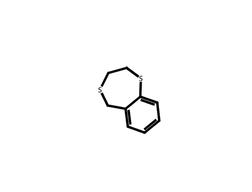 [CH]1CSCc2ccccc2S1